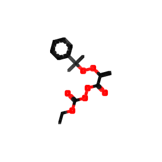 C=C(OOC(C)(C)c1ccccc1)C(=O)OOC(=O)OCC